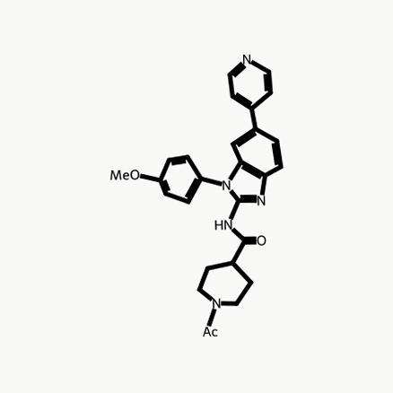 COc1ccc(-n2c(NC(=O)C3CCN(C(C)=O)CC3)nc3ccc(-c4ccncc4)cc32)cc1